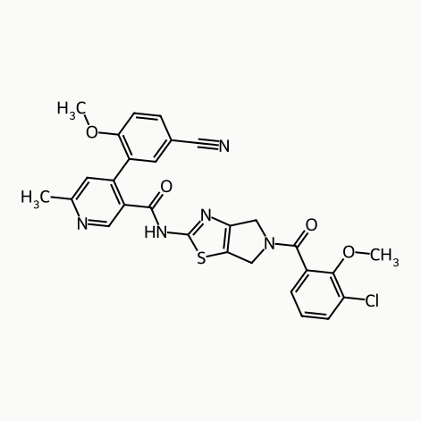 COc1ccc(C#N)cc1-c1cc(C)ncc1C(=O)Nc1nc2c(s1)CN(C(=O)c1cccc(Cl)c1OC)C2